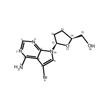 Nc1ncnc2c1c(Br)cn2[C@H]1CC[C@@H](CO)O1